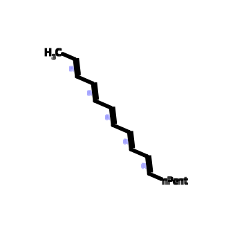 [CH2]CCCC/C=C/C=C/C=C/C=C/C=C/C